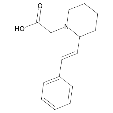 O=C(O)CN1CCCCC1C=Cc1ccccc1